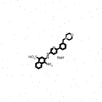 Nc1c(N=Nc2ccc(-c3cccc(CN4CCOCC4)c3)nc2)cc(S(=O)(=O)O)c2ccccc12.[NaH]